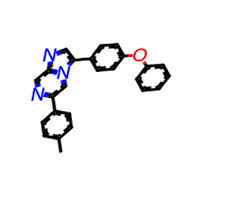 Cc1ccc(-c2cn3c(-c4ccc(Oc5ccccc5)cc4)cnc3cn2)cc1